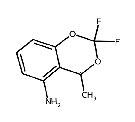 C[C]1OC(F)(F)Oc2cccc(N)c21